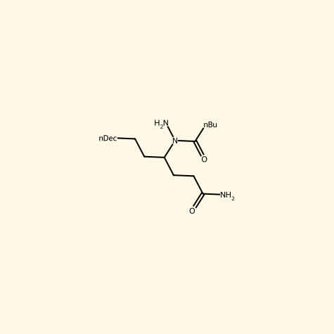 CCCCCCCCCCCCC(CCC(N)=O)N(N)C(=O)CCCC